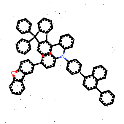 c1ccc(-c2ccc(-c3ccc(N(c4ccc(-c5ccc6oc7ccccc7c6c5)cc4)c4ccccc4-c4cccc5c4-c4ccccc4C5(c4ccccc4)c4ccccc4)cc3)c3ccccc23)cc1